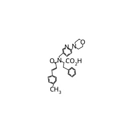 Cc1ccc(C=CC(=O)N(Cc2ccc(N3CCOCC3)nc2)[C@@H](Cc2ccccc2)C(=O)O)cc1